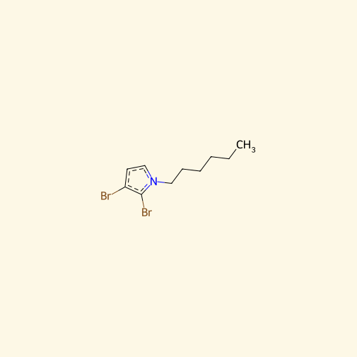 CCCCCCn1ccc(Br)c1Br